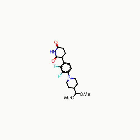 COC(OC)C1CCN(c2ccc(C3CCC(=O)NC3=O)c(F)c2F)CC1